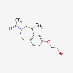 CC1CN(C(=O)C(F)(F)F)CCc2ccc(OCCBr)cc21